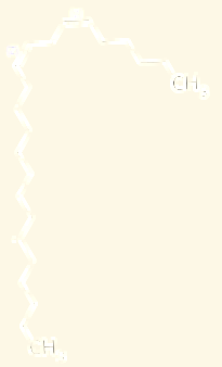 CCCCC[CH]CCCCCCC/C=C\C/C=C\CCCCC